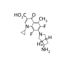 Cc1c(F)c(N2C[C@H]3C[C@@H](N)[C@H]3C2)c(F)c2c1c(=O)c(C(=O)O)cn2C1CC1